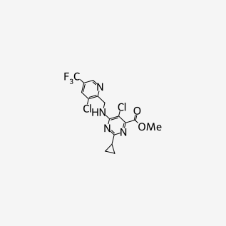 COC(=O)c1nc(C2CC2)nc(NCc2ncc(C(F)(F)F)cc2Cl)c1Cl